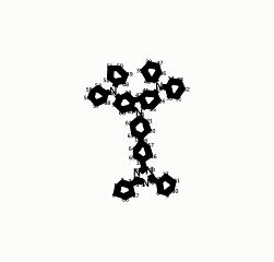 c1ccc(-c2nc(-c3ccccc3)nc(-c3ccc(-c4ccc(-n5c6ccc(N(c7ccccc7)c7ccccc7)cc6c6cc(N(c7ccccc7)c7ccccc7)ccc65)cc4)cc3)n2)cc1